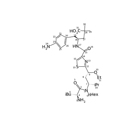 CCCCCCN(C(=O)[C@@H](N)[C@@H](C)CC)[C@H](C[C@@H](OCC)c1nc(C(=O)N[C@@H](Cc2ccc(N)cc2)CC(C)(C)C(=O)O)cs1)C(C)C